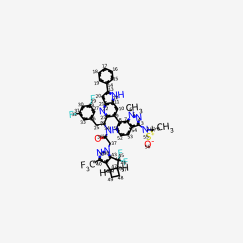 C[C@H]1N(c2nn(C)c3c(-c4cc5[nH]c(-c6ccccc6)cc5nc4[C@H](Cc4cc(F)cc(F)c4)NC(=O)Cn4nc(C(F)(F)F)c5c4C(F)(F)[C@@H]4CC[C@H]54)cccc23)[S+]1[O-]